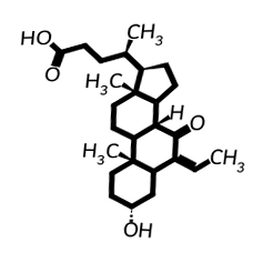 C/C=C1\C(=O)[C@@H]2C(CC[C@@]3(C)C2CC[C@@H]3[C@H](C)CCC(=O)O)[C@@]2(C)CC[C@@H](O)CC12